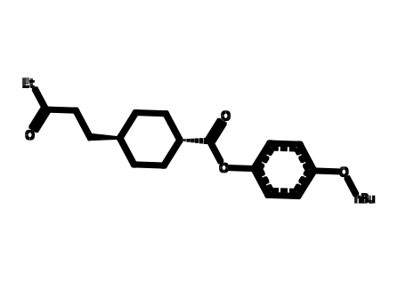 CCCCOc1ccc(OC(=O)[C@H]2CC[C@H](CCC(=O)CC)CC2)cc1